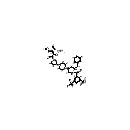 C=N/C(CO)=C(\SN)C(=O)N1CCC(N2CCN(C3CCN(C(=O)c4cc(C(F)(F)F)cc(C(F)(F)F)c4)C(Cc4ccccc4)C3)CC2)C1